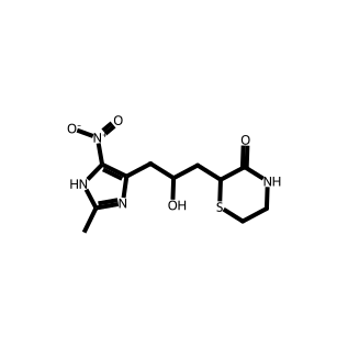 Cc1nc(CC(O)CC2SCCNC2=O)c([N+](=O)[O-])[nH]1